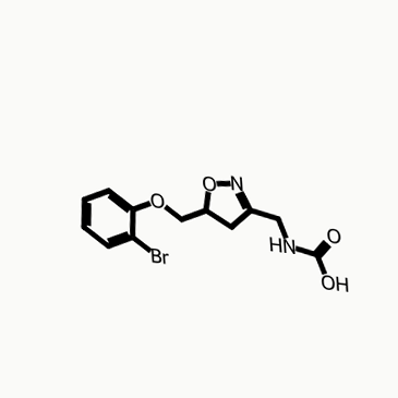 O=C(O)NCC1=NOC(COc2ccccc2Br)C1